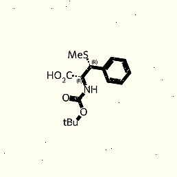 CS[C@H](c1ccccc1)[C@H](NC(=O)OC(C)(C)C)C(=O)O